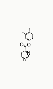 Cc1ccc(OC(=O)c2ccncn2)cc1C